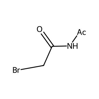 CC(=O)NC(=O)CBr